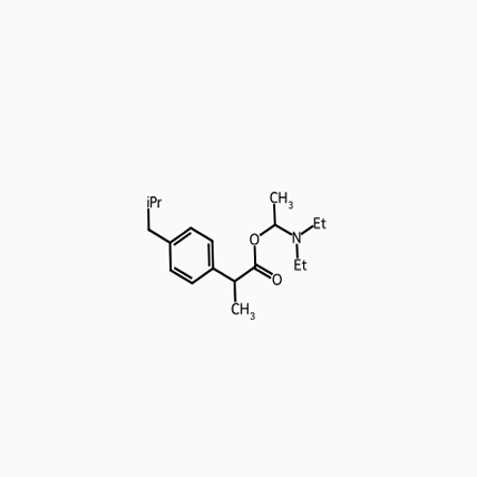 CCN(CC)C(C)OC(=O)C(C)c1ccc(CC(C)C)cc1